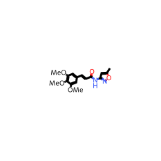 COc1cc(C=CC(=O)Nc2cc(C)on2)cc(OC)c1OC